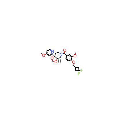 COc1ccnc([C@]23CCN(C(=O)c4ccc(OCC5CC(F)(F)C5)c(OC)c4)C[C@H]2OCO3)c1